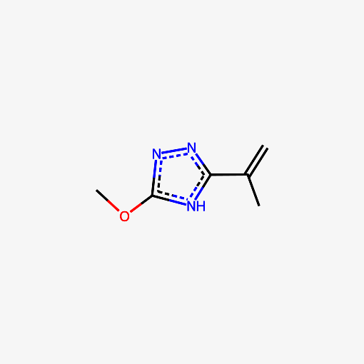 C=C(C)c1nnc(OC)[nH]1